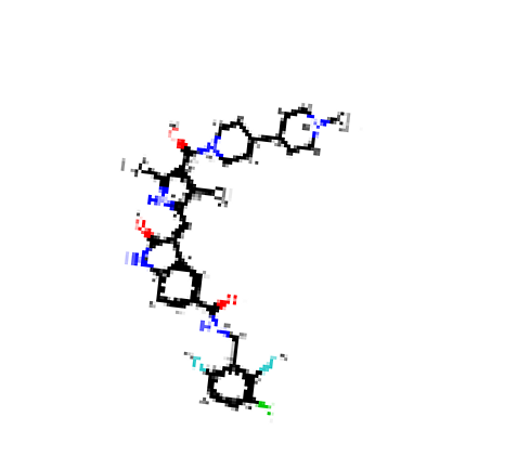 Cc1[nH]c(C=C2C(=O)Nc3ccc(C(=O)NCc4c(F)ccc(Cl)c4F)cc32)c(C)c1C(=O)N1CCC(C2CCN(C)CC2)CC1